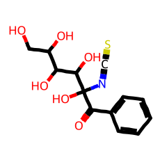 O=C(c1ccccc1)C(O)(N=C=S)C(O)C(O)C(O)CO